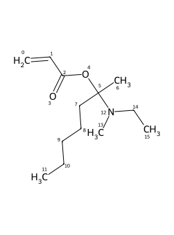 C=CC(=O)OC(C)(CCCCC)N(C)CC